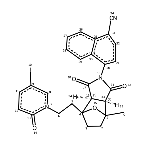 CC12CCC(CCn3cc(I)ccc3=O)(O1)[C@H]1C(=O)N(c3ccc(C#N)c4ccccc34)C(=O)[C@H]12